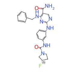 NC(=O)c1cnc(Nc2cccc(NC(=O)N3CC[C@H](F)C3)c2)nc1NCc1ccccc1